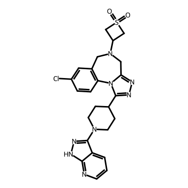 O=S1(=O)CC(N2Cc3cc(Cl)ccc3-n3c(nnc3C3CCN(c4n[nH]c5ncccc45)CC3)C2)C1